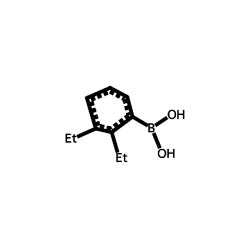 CCc1cccc(B(O)O)c1CC